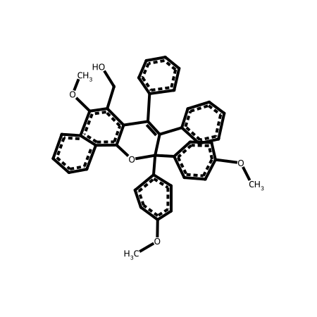 COc1ccc(C2(c3ccc(OC)cc3)Oc3c(c(CO)c(OC)c4ccccc34)C(c3ccccc3)=C2c2ccccc2)cc1